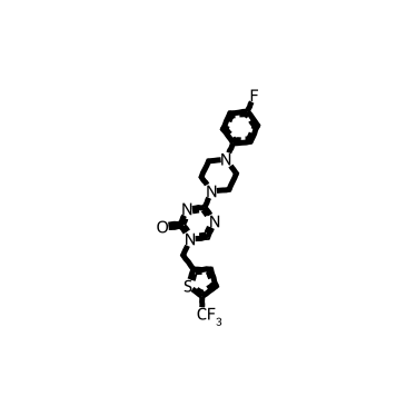 O=c1nc(N2CCN(c3ccc(F)cc3)CC2)ncn1Cc1ccc(C(F)(F)F)s1